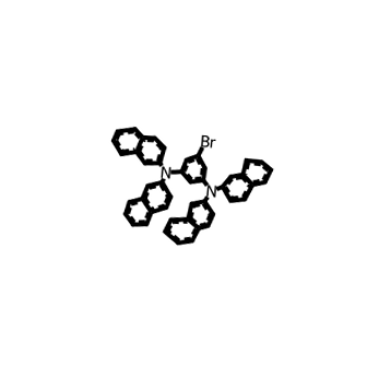 Brc1cc(N(c2ccc3ccccc3c2)c2ccc3ccccc3c2)cc(N(c2ccc3ccccc3c2)c2ccc3ccccc3c2)c1